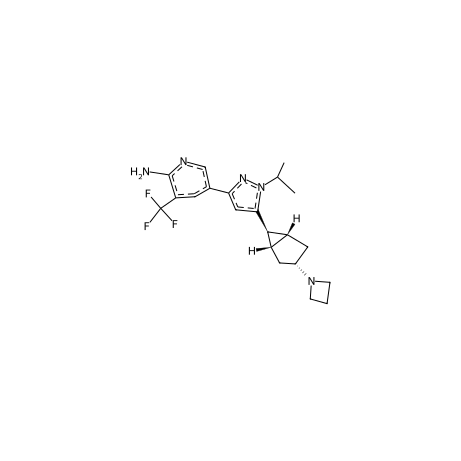 CC(C)n1nc(-c2cnc(N)c(C(F)(F)F)c2)cc1[C@H]1[C@@H]2C[C@H](N3CCC3)C[C@@H]21